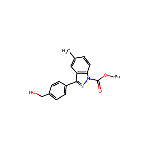 Cc1ccc2c(c1)c(-c1ccc(CO)cc1)nn2C(=O)OC(C)(C)C